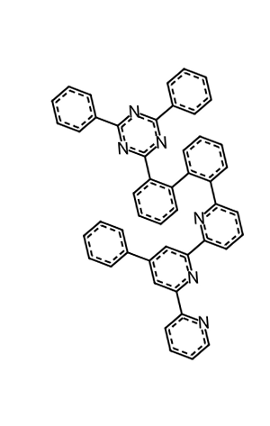 c1ccc(-c2cc(-c3ccccn3)nc(-c3cccc(-c4ccccc4-c4ccccc4-c4nc(-c5ccccc5)nc(-c5ccccc5)n4)n3)c2)cc1